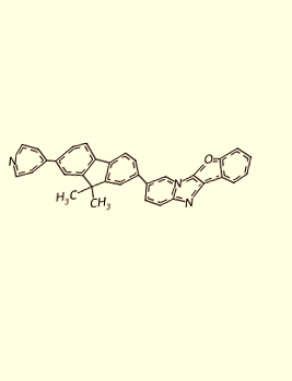 CC1(C)c2cc(-c3ccncc3)ccc2-c2ccc(-c3ccc4nc5c6ccccc6oc5n4c3)cc21